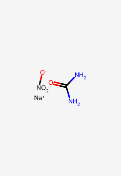 NC(N)=O.O=[N+]([O-])[O-].[Na+]